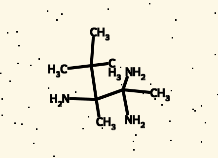 CC(C)(C)C(C)(N)C(C)(N)N